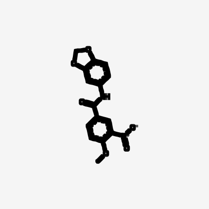 COc1ccc(C(=O)Nc2ccc3c(c2)OCO3)cc1[N+](=O)[O-]